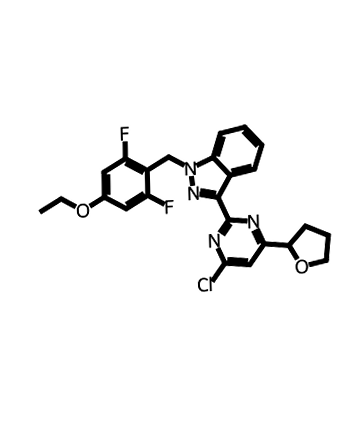 CCOc1cc(F)c(Cn2nc(-c3nc(Cl)cc(C4CCCO4)n3)c3ccccc32)c(F)c1